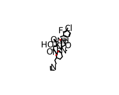 CN(C)C(=O)C(=O)N(C)C12CCC(CCN3CCC3)(CC1)Cn1c2nc(C(=O)NCc2cccc(Cl)c2F)c(O)c1=O